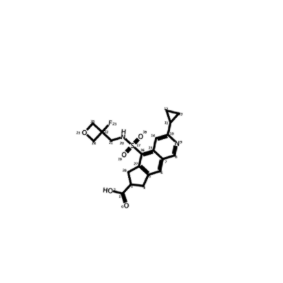 O=C(O)C1Cc2cc3cnc(C4CC4)cc3c(S(=O)(=O)NCC3(F)COC3)c2C1